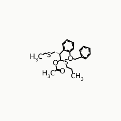 CCCS[C@@H](OC(C)=O)[C@H](CSCC)c1ccccc1OCc1ccccc1